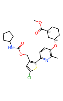 COC(=O)[C@H]1CCC[C@H](Oc2ccc(-c3sc(Cl)cc3COC(=O)NC3CCCC3)nc2C)C1